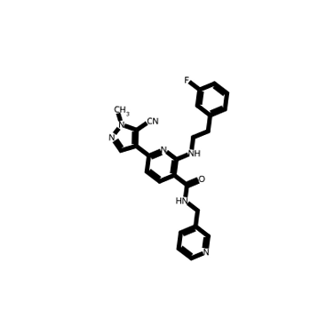 Cn1ncc(-c2ccc(C(=O)NCc3cccnc3)c(NCCc3cccc(F)c3)n2)c1C#N